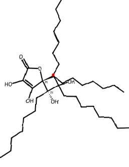 CCCCCCCCC(O)(CCCCCCCC)[C@@](O)(CCCCCCCC)[C@@]1(CCCCCCCC)OC(=O)C(O)=C1O